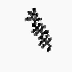 O=C(OC(F)(F)C(F)(F)CF)C(F)(F)C(F)(F)OC(F)=C(F)C(F)(F)F